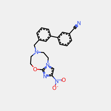 N#Cc1cccc(-c2cccc(CN3CCOc4nc([N+](=O)[O-])cn4CC3)c2)c1